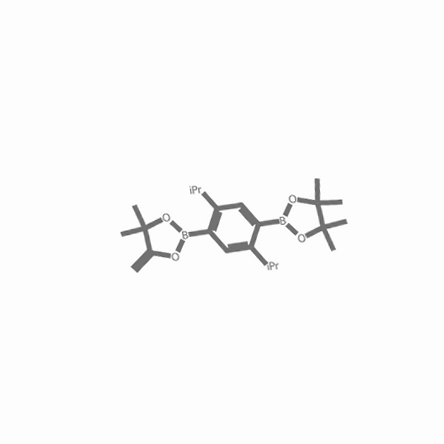 C=C1OB(c2cc(C(C)C)c(B3OC(C)(C)C(C)(C)O3)cc2C(C)C)OC1(C)C